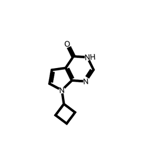 O=c1[nH]cnc2c1ccn2C1CCC1